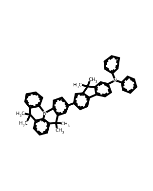 CC1(C)c2cc(-c3ccc4c(c3)C(C)(C)c3cccc5c3N4c3ccccc3C5(C)C)ccc2-c2ccc(N(c3ccccc3)c3ccccc3)cc21